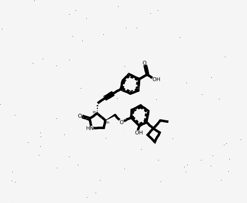 CCC1(c2cccc(OC[C@H]3CNC(=O)[C@@H]3CC#Cc3ccc(C(=O)O)cc3)c2O)CCC1